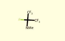 CNC(F)(C(F)(F)F)C(F)(F)F